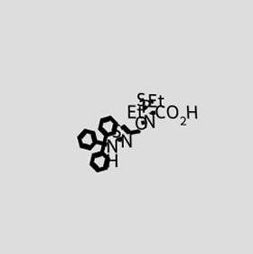 CCP(=S)(CC)C(=NOCc1csc(NC(c2ccccc2)(c2ccccc2)c2ccccc2)n1)C(=O)O